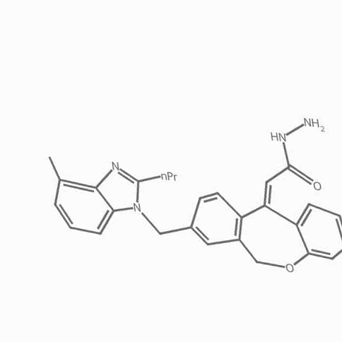 CCCc1nc2c(C)cccc2n1Cc1ccc2c(c1)COc1ccccc1C2=CC(=O)NN